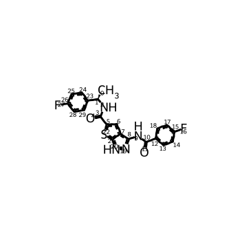 C[C@@H](NC(=O)c1cc2c(NC(=O)c3ccc(F)cc3)n[nH]c2s1)c1ccc(F)cc1